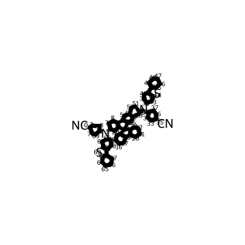 N#Cc1ccc(N(c2ccc3c(c2)C2(c4ccccc4-c4ccccc42)c2cc4cc(N(c5ccc(C#N)cc5)c5ccc6c(c5)sc5ccccc56)ccc4cc2-3)c2ccc3c(c2)sc2ccccc23)cc1